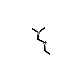 CC[N]CN(C)C